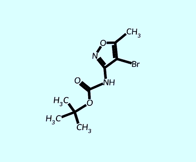 Cc1onc(NC(=O)OC(C)(C)C)c1Br